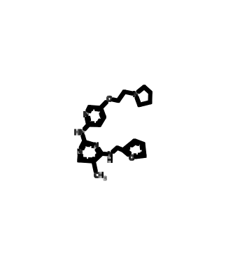 Cc1cnc(Nc2ccc(OCCN3CCCC3)cn2)nc1NCc1ccco1